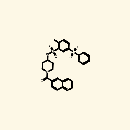 Cc1ccc(S(=O)(=O)c2ccccc2)cc1S(=O)(=O)NC1CCN(C(=O)c2ccc3ccccc3c2)CC1